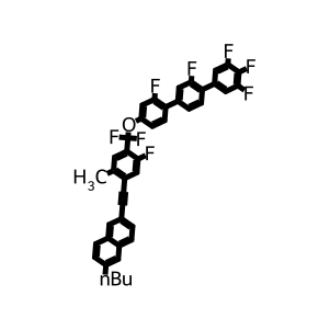 CCCCc1ccc2cc(C#Cc3cc(F)c(C(F)(F)Oc4ccc(-c5ccc(-c6cc(F)c(F)c(F)c6)c(F)c5)c(F)c4)cc3C)ccc2c1